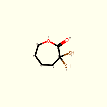 O=C1OCCCCC1(S)S